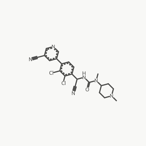 CN1CCC(N(C)C(=O)NC(C#N)c2ccc(-c3cncc(C#N)c3)c(Cl)c2Cl)CC1